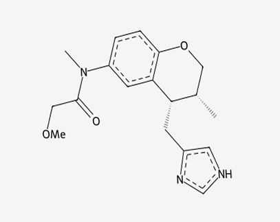 COCC(=O)N(C)c1ccc2c(c1)[C@@H](Cc1c[nH]cn1)[C@@H](C)CO2